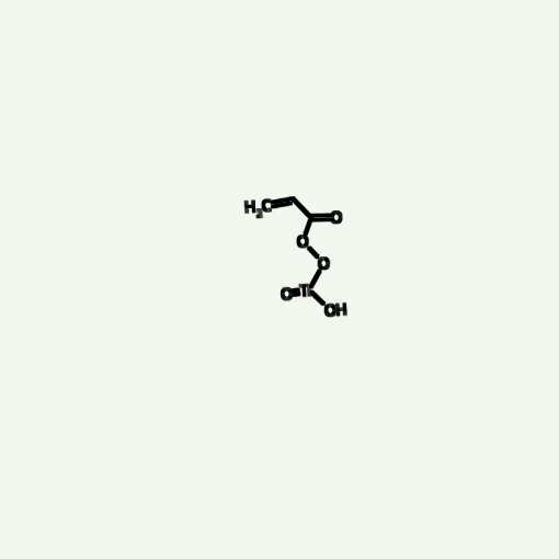 C=CC(=O)O[O][Ti](=[O])[OH]